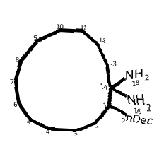 CCCCCCCCCCC1CCCCCCCCCCCCC1(N)N